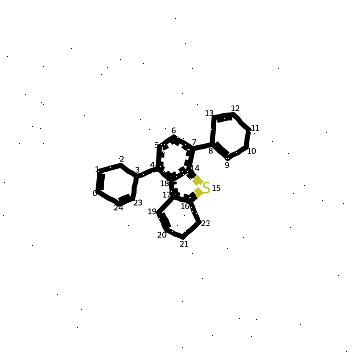 C1=CCC(c2ccc(C3=CCCC=C3)c3sc4c(c23)C=CCC4)C=C1